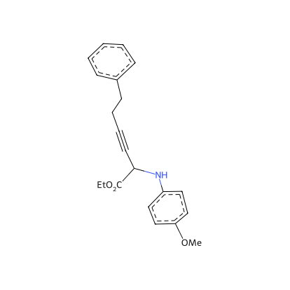 CCOC(=O)C(C#CCCc1ccccc1)Nc1ccc(OC)cc1